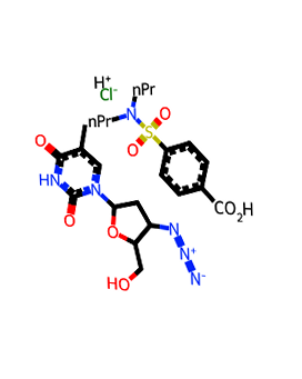 CCCN(CCC)S(=O)(=O)c1ccc(C(=O)O)cc1.Cc1cn(C2CC(N=[N+]=[N-])C(CO)O2)c(=O)[nH]c1=O.[Cl-].[H+]